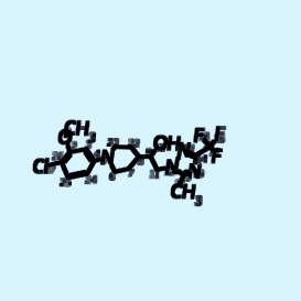 COc1cc(N2CCC(C(O)Cn3nc(C(F)(F)F)nc3C)CC2)ccc1Cl